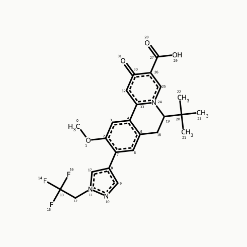 COc1cc2c(cc1-c1cnn(CC(F)(F)F)c1)CC(C(C)(C)C)n1cc(C(=O)O)c(=O)cc1-2